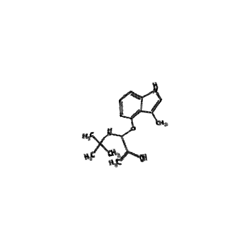 Cc1c[nH]c2cccc(OC(NC(C)(C)C)C(C)O)c12